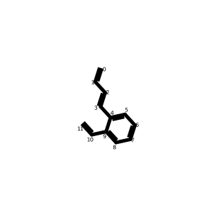 C=CC=Cc1ccccc1C=C